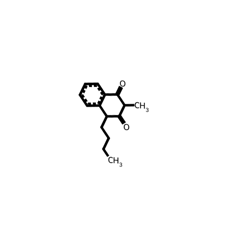 CCCCC1C(=O)C(C)C(=O)c2ccccc21